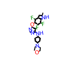 Cc1cc2c(F)c(Oc3ncnc(Nc4ccc(N5CCOCC5)cc4)c3F)cc(F)c2[nH]1